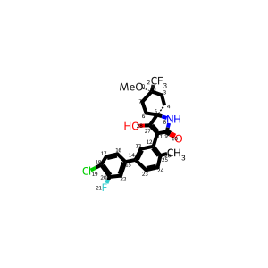 CO[C@]1(C(F)(F)F)CC[C@]2(CC1)NC(=O)C(c1cc(-c3ccc(Cl)c(F)c3)ccc1C)=C2O